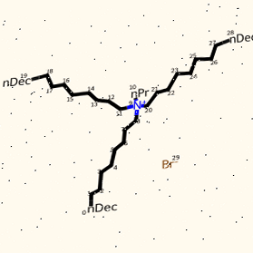 CCCCCCCCCCCCCCCCCC[N+](CCC)(CCCCCCCCCCCCCCCCCC)CCCCCCCCCCCCCCCCCC.[Br-]